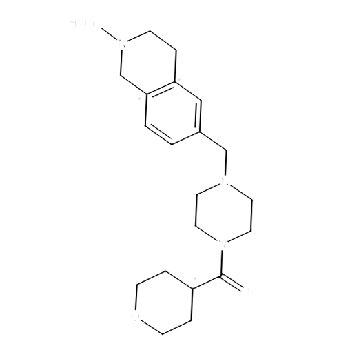 O=C(O)N1CCc2cc(CN3CCN(C(=O)C4CCOCC4)CC3)ccc2C1